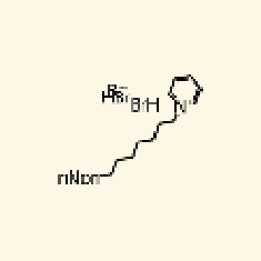 Br.Br.CCCCCCCCCCCCCCCC[n+]1ccccc1.[Br-]